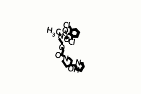 CN(CCOCC(=O)N1CCC(O)(c2ccccn2)CC1)S(=O)(=O)c1c(Cl)cccc1Cl